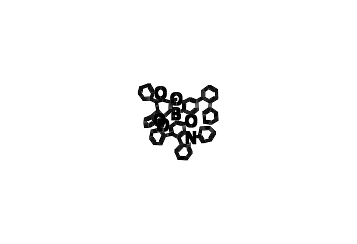 c1ccc(-c2ccccc2-c2cc3c4c(c2)Oc2c(c5oc6ccccc6c5c5c6ccccc6n(-c6ccccc6)c25)B4c2c(c4oc5ccccc5c4c4c2oc2ccccc24)O3)cc1